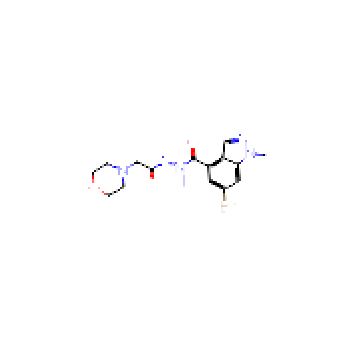 C[C@@H]1CN(CC(=O)NNC(=O)c2cc(Br)cc3c2cnn3C)CCO1